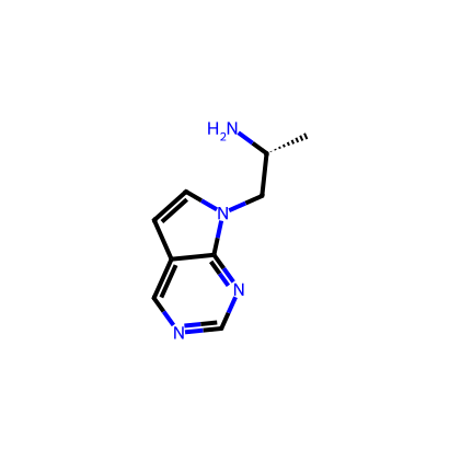 C[C@@H](N)Cn1ccc2cncnc21